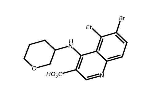 CCc1c(Br)ccc2ncc(C(=O)O)c(NC3CCCOC3)c12